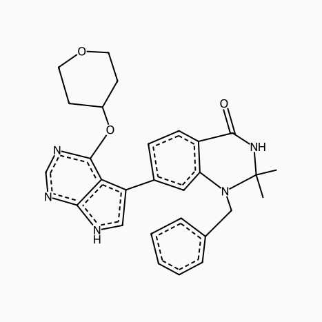 CC1(C)NC(=O)c2ccc(-c3c[nH]c4ncnc(OC5CCOCC5)c34)cc2N1Cc1ccccc1